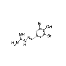 N=C(N)N/N=C/c1cc(Br)c(O)c(Br)c1